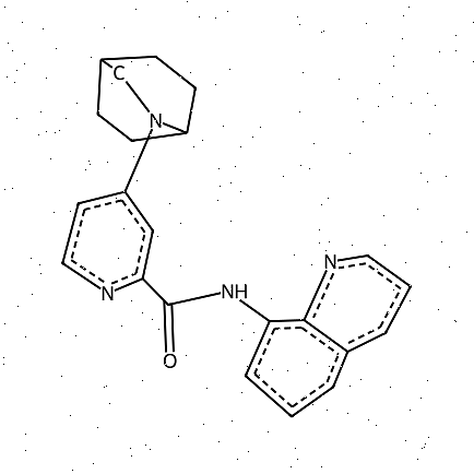 O=C(Nc1cccc2cccnc12)c1cc(N2CC3CCC2CC3)ccn1